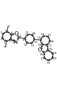 Cc1ccc(C)c2oc(-c3ccc(-c4cccc5c4oc4ccccc45)cc3)nc12